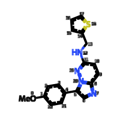 COc1ccc(-c2cnc3ccc(NCc4cccs4)nn23)cc1